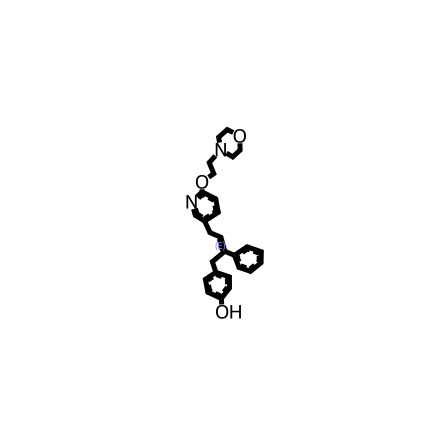 Oc1ccc(C/C(=C\Cc2ccc(OCCN3CCOCC3)nc2)c2ccccc2)cc1